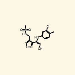 CS(=O)(=O)NCc1nonc1/C(=N\O)Nc1ccc(F)c(Cl)c1